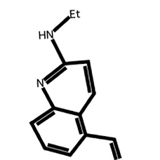 C=Cc1cccc2nc(NCC)ccc12